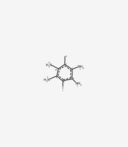 Cc1c(N)c(N)c(I)c(N)c1N